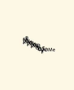 COC/C(F)=C(\F)c1ccc(OC(=O)c2ccc(-c3ccc(-c4cc(F)c(F)c(F)c4)c(F)c3)c(F)c2)cc1